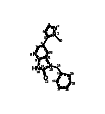 Cn1nccc1-c1cnc2[nH]c(=O)n(Cc3ccccc3)c2c1